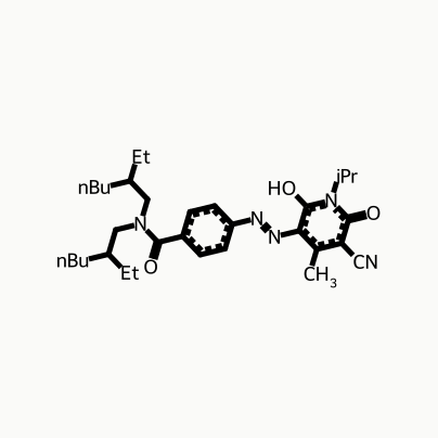 CCCCC(CC)CN(CC(CC)CCCC)C(=O)c1ccc(/N=N/c2c(C)c(C#N)c(=O)n(C(C)C)c2O)cc1